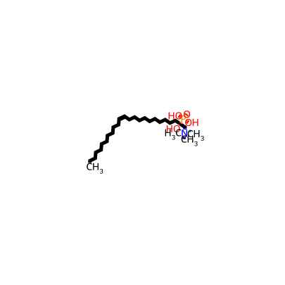 CCCCCCCCCCC/C=C\CCCCCCCCCCC(O)(C[N+](C)(C)C)P(=O)(O)O